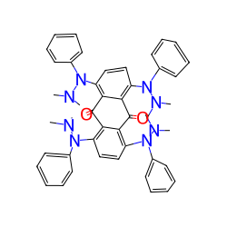 CN(C)N(c1ccccc1)c1ccc(N(c2ccccc2)N(C)C)c2c1C(=O)c1c(N(c3ccccc3)N(C)C)ccc(N(c3ccccc3)N(C)C)c1C2=O